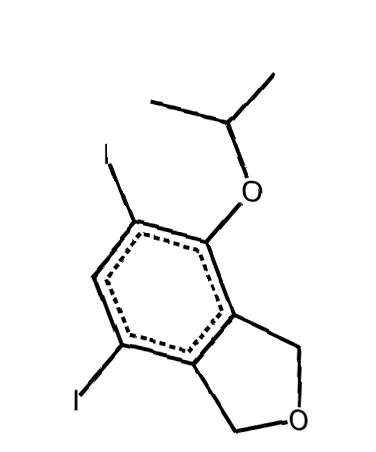 CC(C)Oc1c(I)cc(I)c2c1COC2